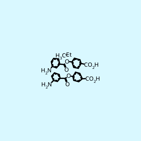 CCC.Nc1cccc(C(=O)Oc2ccc(C(=O)O)cc2)c1.Nc1cccc(C(=O)Oc2ccc(C(=O)O)cc2)c1